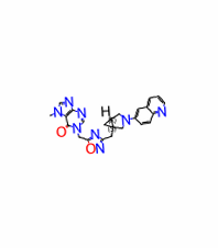 Cn1cnc2ncn(Cc3nc(C[C@@]45C[C@H]4CN(c4ccc6ncccc6c4)C5)no3)c(=O)c21